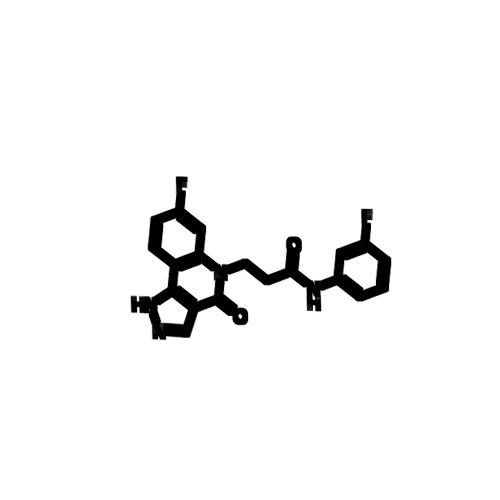 O=C(CCn1c(=O)c2cn[nH]c2c2ccc(F)cc21)Nc1cccc(F)c1